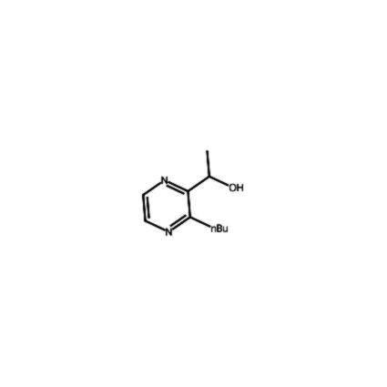 CCCCc1nccnc1C(C)O